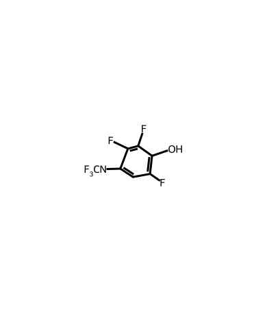 Oc1c(F)cc(NC(F)(F)F)c(F)c1F